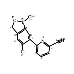 N#Cc1cccc(-c2cc3c(cc2Cl)COB3O)n1